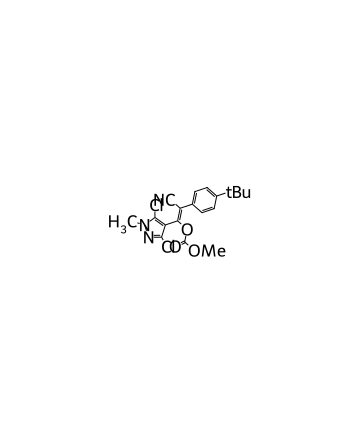 COC(=O)OC(=C(C#N)c1ccc(C(C)(C)C)cc1)c1c(Cl)nn(C)c1Cl